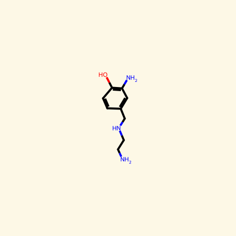 NCCNCc1ccc(O)c(N)c1